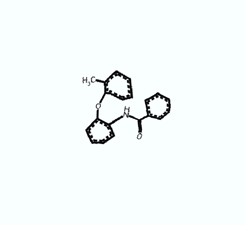 Cc1ccccc1Oc1ccccc1NC(=O)c1ccccc1